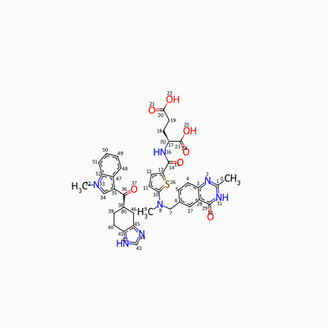 Cc1nc2ccc(CN(C)c3ccc(C(=O)N[C@@H](CCC(=O)O)C(=O)O)s3)cc2c(=O)[nH]1.Cn1cc(C(=O)[C@@H]2CCc3[nH]cnc3C2)c2ccccc21